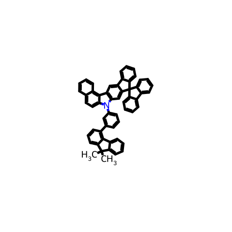 CC1(C)c2ccccc2-c2c(-c3cccc(-n4c5cc6c(cc5c5c7ccccc7ccc54)-c4ccccc4C64c5ccccc5-c5ccccc54)c3)cccc21